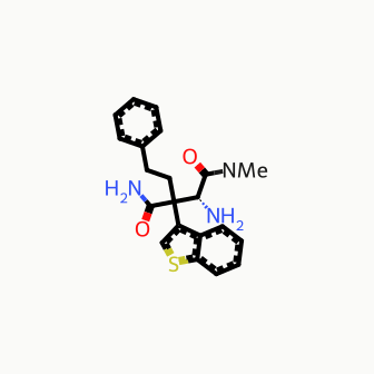 CNC(=O)[C@H](N)C(CCc1ccccc1)(C(N)=O)c1csc2ccccc12